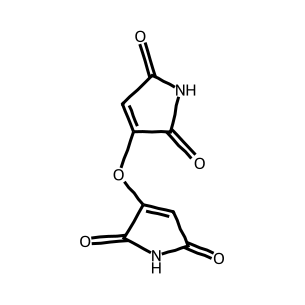 O=C1C=C(OC2=CC(=O)NC2=O)C(=O)N1